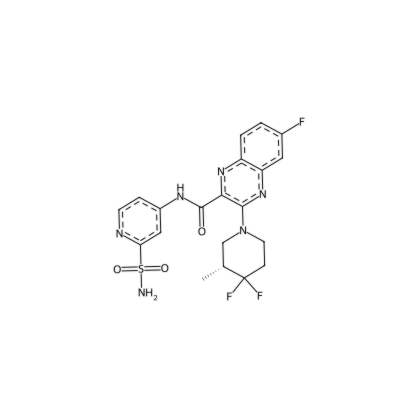 C[C@@H]1CN(c2nc3cc(F)ccc3nc2C(=O)Nc2ccnc(S(N)(=O)=O)c2)CCC1(F)F